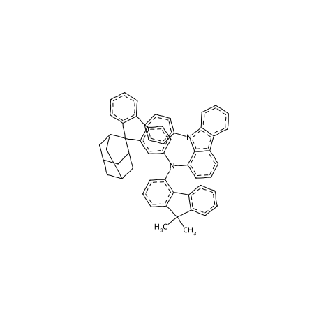 CC1(C)c2ccccc2-c2c(N(c3ccc4c(c3)C3(c5ccccc5-4)C4CC5CC(C4)CC3C5)c3cccc4c5ccccc5n(-c5ccccc5)c34)cccc21